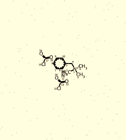 C[N+](C)(C)Cc1ccccc1.N.O=I(=O)Cl.O=I(=O)Cl